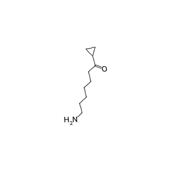 NCCCCCCC(=O)C1CC1